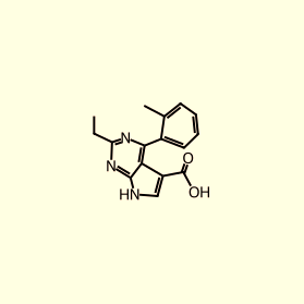 CCc1nc(-c2ccccc2C)c2c(C(=O)O)c[nH]c2n1